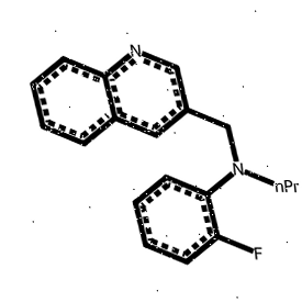 CCCN(Cc1cnc2ccccc2c1)c1ccccc1F